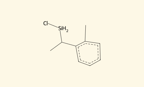 Cc1ccccc1C(C)[SiH2]Cl